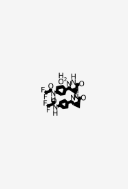 O.O=C(Nc1ccc(C2=NNC(=O)C3CC23)cc1)C(F)F.O=C(Nc1ccc(C2=NNC(=O)C3CC23)cc1)C(F)F